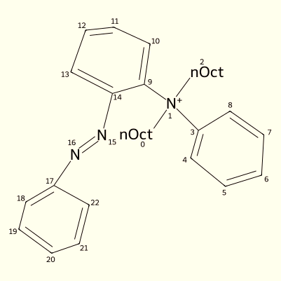 CCCCCCCC[N+](CCCCCCCC)(c1ccccc1)c1ccccc1N=Nc1ccccc1